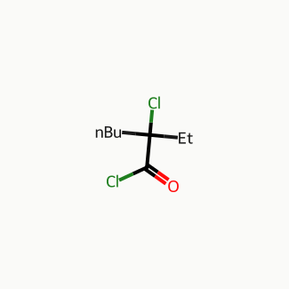 CCCCC(Cl)(CC)C(=O)Cl